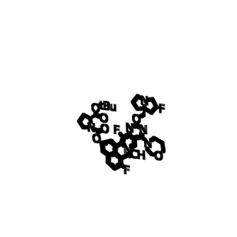 C#Cc1c(F)ccc2cc(OC(=O)N3CCC[C@H]3C(=O)OC(C)(C)C)cc(-c3ncc4c(N5CCCOCC5)nc(OC[C@@]56CCCN5C[C@H](F)C6)nc4c3F)c12